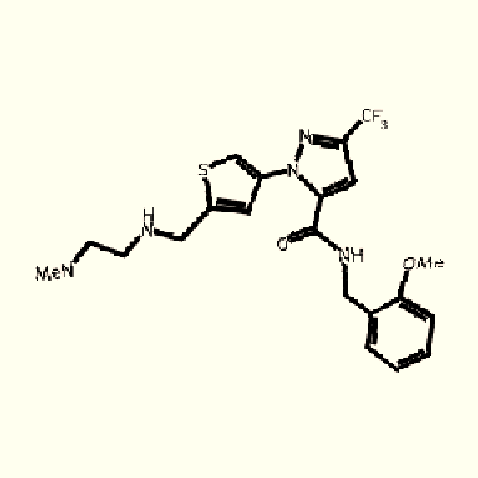 CNCCNCc1cc(-n2nc(C(F)(F)F)cc2C(=O)NCc2ccccc2OC)cs1